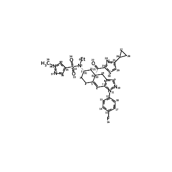 CCN([C@H]1CCC2=Cc3c(cnn3-c3ccc(F)cc3)C[C@]2(C(=O)c2nc(C3CC3)cs2)C1)S(=O)(=O)c1cnn(C)c1